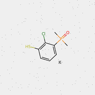 CP(C)(=O)c1cccc(S)c1Cl.[K]